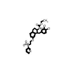 CCOC(=O)NC1CCc2ccc(OCCN(c3cccnc3)[SH](=O)=O)cc2C1Cc1ccc(Cl)c(Cl)c1